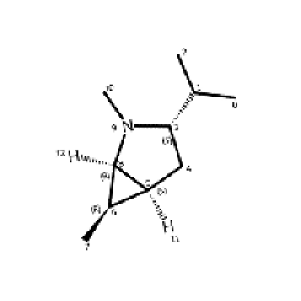 CC(C)[C@@H]1C[C@H]2[C@@H](C)[C@H]2N1C